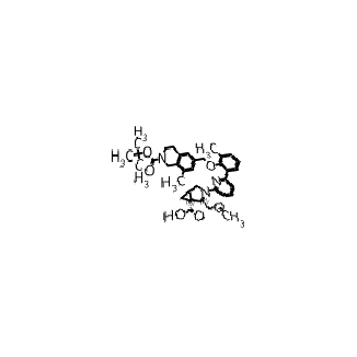 COC[C@@H]1N(c2cccc(-c3cccc(C)c3OCc3cc(C)c4c(c3)CCN(C(=O)OC(C)(C)C)C4)n2)CC2C[C@@]21C(=O)O